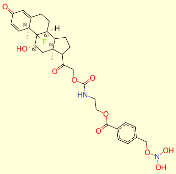 C[C@]12C[C@H](O)C3(F)[C@@H](CCC4=CC(=O)C=C[C@@]43C)C1CCC2C(=O)COC(=O)NCCOC(=O)c1ccc(CON(O)O)cc1